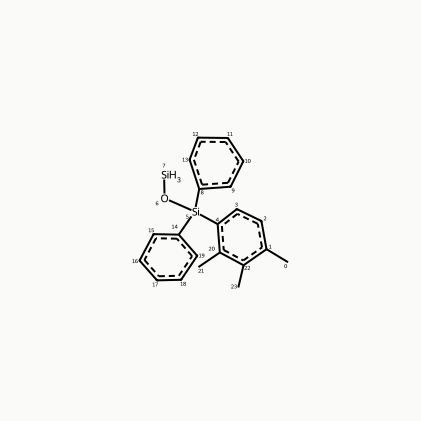 Cc1ccc([Si](O[SiH3])(c2ccccc2)c2ccccc2)c(C)c1C